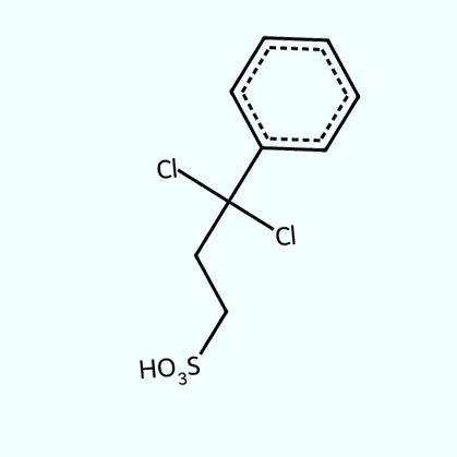 O=S(=O)(O)CCC(Cl)(Cl)c1ccccc1